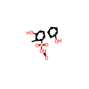 C=O.Cc1c(O)cccc1S(=O)(=O)O.Oc1ccccc1